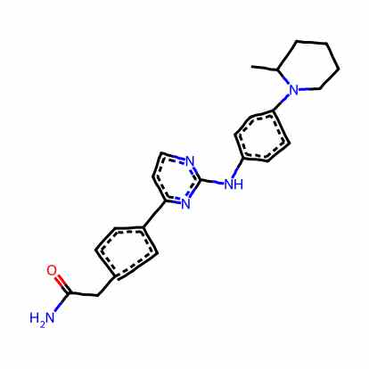 CC1CCCCN1c1ccc(Nc2nccc(-c3ccc(CC(N)=O)cc3)n2)cc1